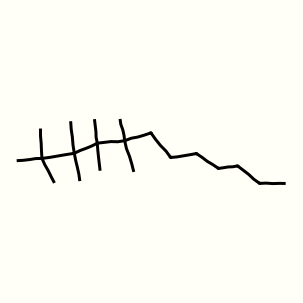 CCCCCCCC(C)(C)C(C)(C)C(C)(C)C(C)(C)C